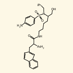 CC(C)CN(C(CO)CCCCNC(=O)C([AsH2])Cc1ccc2ccccc2c1)S(=O)(=O)c1ccc(N)cc1